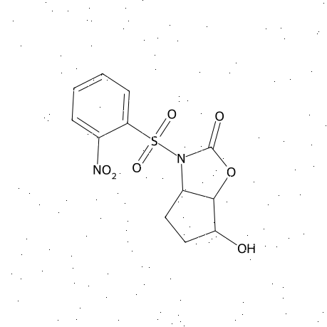 O=C1OC2C(O)CCC2N1S(=O)(=O)c1ccccc1[N+](=O)[O-]